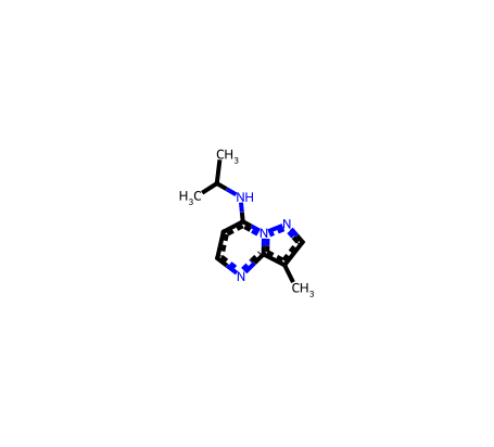 Cc1cnn2c(NC(C)C)ccnc12